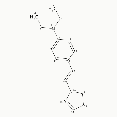 CCN(CC)c1ccc(C=CN2CCC=N2)cc1